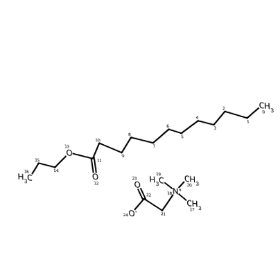 CCCCCCCCCCCC(=O)OCCC.C[N+](C)(C)CC(=O)[O-]